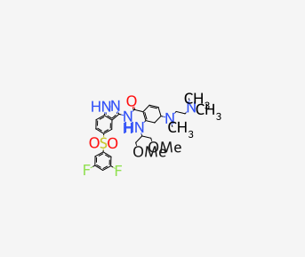 COCC(COC)NC1=C(C(=O)Nc2n[nH]c3ccc(S(=O)(=O)c4cc(F)cc(F)c4)cc23)C=CC(N(C)CCN(C)C)C1